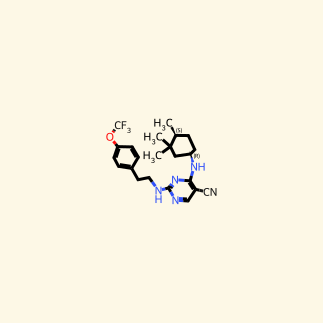 C[C@H]1CC[C@@H](Nc2nc(NCCc3ccc(OC(F)(F)F)cc3)ncc2C#N)CC1(C)C